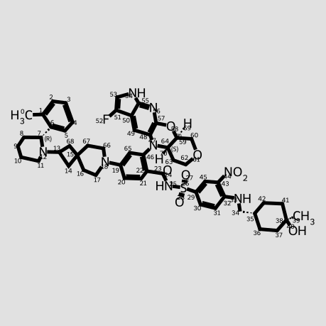 Cc1ccccc1[C@H]1CCCCN1C1CC2(CCN(c3ccc(C(=O)NS(=O)(=O)c4ccc(NC[C@H]5CC[C@](C)(O)CC5)c([N+](=O)[O-])c4)c(N4c5cc6c(F)c[nH]c6nc5O[C@H]5COCC[C@@H]54)c3)CC2)C1